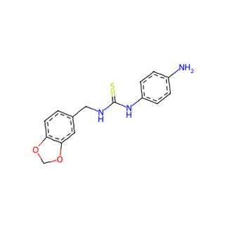 Nc1ccc(NC(=S)NCc2ccc3c(c2)OCO3)cc1